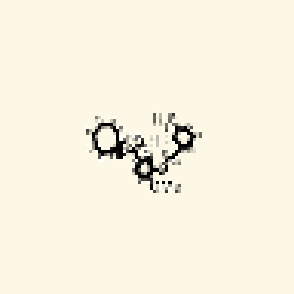 COc1ccc(C(=O)NC2(C(=O)O)CCCCCCC2)cc1OCCc1cccc(C)c1